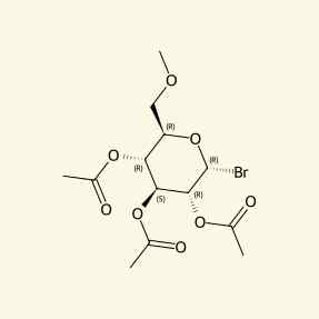 COC[C@H]1O[C@H](Br)[C@H](OC(C)=O)[C@@H](OC(C)=O)[C@@H]1OC(C)=O